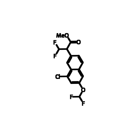 COC(=O)C(c1ccc2cc(OC(F)F)cc(Cl)c2c1)C(F)F